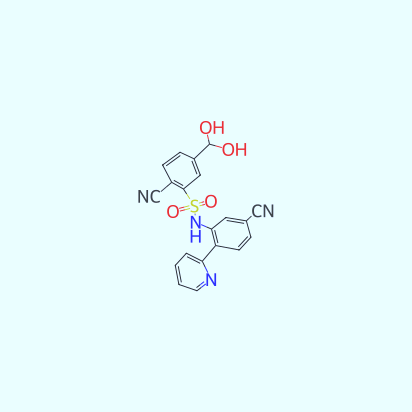 N#Cc1ccc(-c2ccccn2)c(NS(=O)(=O)c2cc(C(O)O)ccc2C#N)c1